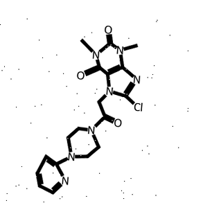 Cn1c(=O)c2c(nc(Cl)n2CC(=O)N2CCN(c3ccccn3)CC2)n(C)c1=O